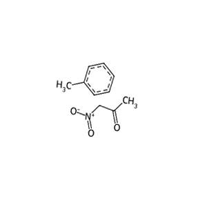 CC(=O)C[N+](=O)[O-].Cc1ccccc1